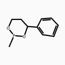 CP1OCCC(c2ccccc2)O1